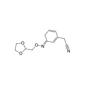 N#CCC1=CC(=NOCC2OCCO2)CC=C1